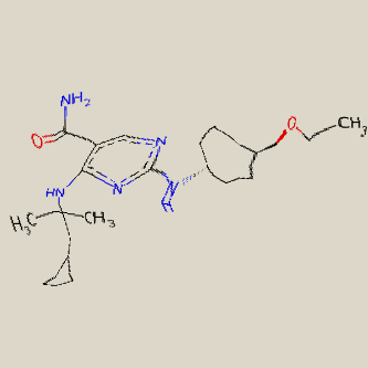 CCO[C@H]1CC[C@H](Nc2ncc(C(N)=O)c(NC(C)(C)C3CC3)n2)CC1